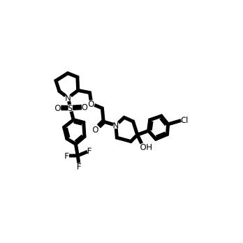 O=C(COCC1CCCCN1S(=O)(=O)c1ccc(C(F)(F)F)cc1)N1CCC(O)(c2ccc(Cl)cc2)CC1